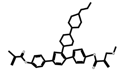 C=C(C)C(=O)Oc1ccc(-c2ccc(-c3ccc(OC(=O)C(=C)COC)cc3)c(C3CCC(C4CCC(CCC)CC4)CC3)c2)cc1